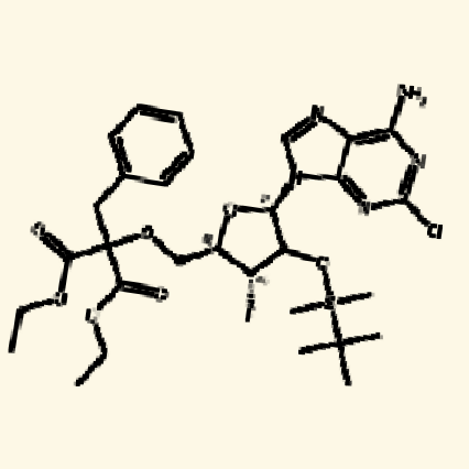 CCOC(=O)C(Cc1ccccc1)(OC[C@H]1O[C@@H](n2cnc3c(N)nc(Cl)nc32)C(O[Si](C)(C)C(C)(C)C)[C@@H]1F)C(=O)OCC